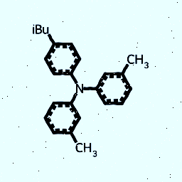 CCC(C)c1ccc(N(c2cccc(C)c2)c2cccc(C)c2)cc1